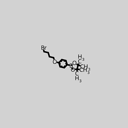 CC1(C)OB(c2ccc(OCCCCBr)cc2)OC1(C)C